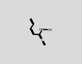 C=C=C(/C=C\C=C)NO